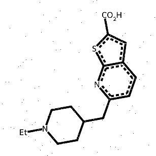 CCN1CCC(Cc2ccc3cc(C(=O)O)sc3n2)CC1